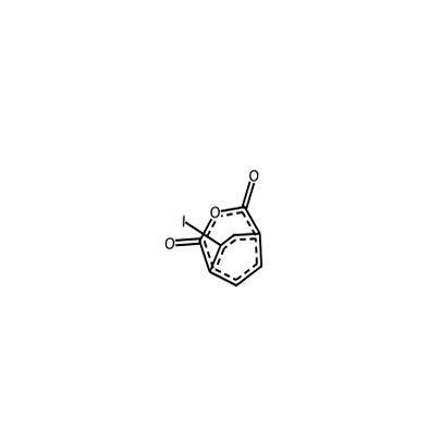 O=c1oc(=O)c2ccc1cc2I